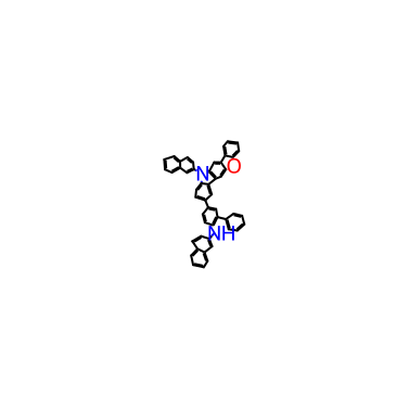 c1ccc(-c2cc(-c3ccc4c(c3)c3cc5oc6ccccc6c5cc3n4-c3ccc4ccccc4c3)ccc2Nc2ccc3ccccc3c2)cc1